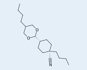 CCCCC1COC([C@H]2CC[C@](C#N)(CCCC)CC2)OC1